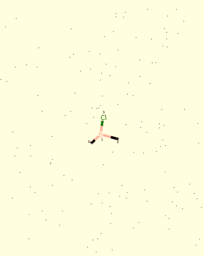 CB(C)Cl